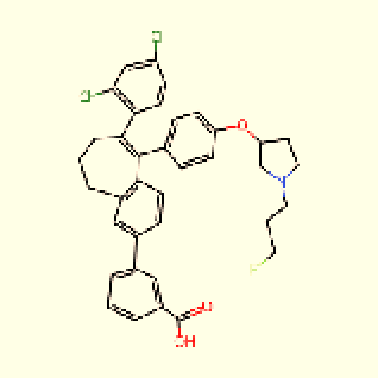 O=C(O)c1cccc(-c2ccc3c(c2)CCCC(c2ccc(Cl)cc2Cl)=C3c2ccc(OC3CCN(CCCF)C3)cc2)c1